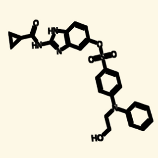 O=C(Nc1nc2cc(OS(=O)(=O)c3ccc(N(CCO)c4ccccc4)cc3)ccc2[nH]1)C1CC1